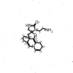 NCCN1C(=O)NCC12CC13CCCCC1=CN1C=CCCC1=C3O2